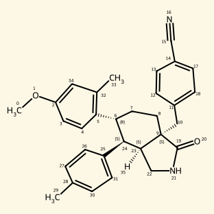 COc1ccc([C@@H]2CC[C@@]3(Cc4ccc(C#N)cc4)C(=O)NC[C@H]3[C@H]2c2ccc(C)cc2)c(C)c1